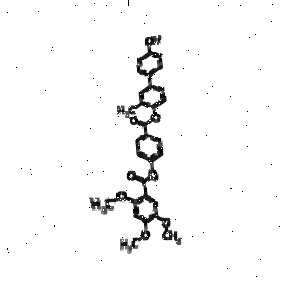 COc1cc(OC)c(C(=O)Oc2ccc(C(=O)Oc3ccc(-c4ccc(O)cc4)cc3C)cc2)cc1OC